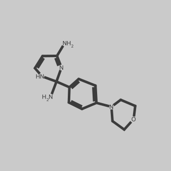 NC1=NC(N)(c2ccc(N3CCOCC3)cc2)NC=C1